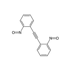 O=Nc1ccccc1C#Cc1ccccc1N=O